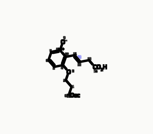 CCCCCCCCCCCCOc1ccc[n+]([O-])c1/C=C/CC(=O)O